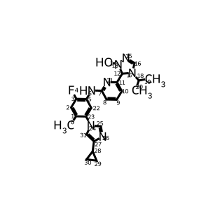 Cc1cc(F)c(Nc2cccc(C3N(O)N=CN3C(C)C)n2)cc1-n1cnc(C2CC2)c1